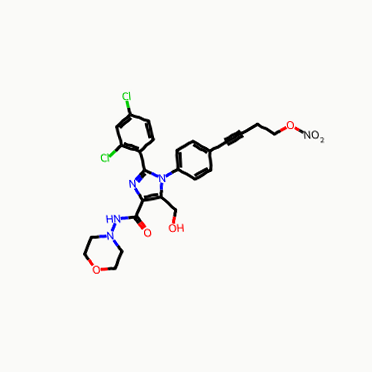 O=C(NN1CCOCC1)c1nc(-c2ccc(Cl)cc2Cl)n(-c2ccc(C#CCCO[N+](=O)[O-])cc2)c1CO